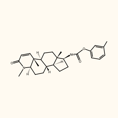 Cc1cccc(OC(=O)N[C@H]2CC[C@H]3[C@@H]4CC[C@H]5N(C)C(=O)C=C[C@]5(C)[C@H]4CC[C@]23C)c1